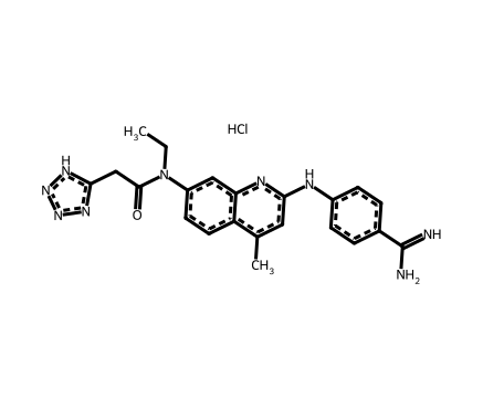 CCN(C(=O)Cc1nnn[nH]1)c1ccc2c(C)cc(Nc3ccc(C(=N)N)cc3)nc2c1.Cl